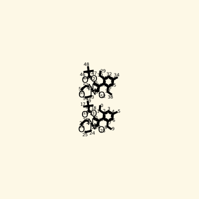 CCc1cc(C)cc(CC)c1-c1c(OC(=O)C(C)(C)C)n2n(c1=O)CCOCC2.CCc1cc(C)cc(CC)c1-c1c(OC(=O)C(C)(C)C)n2n(c1=O)CCOCC2